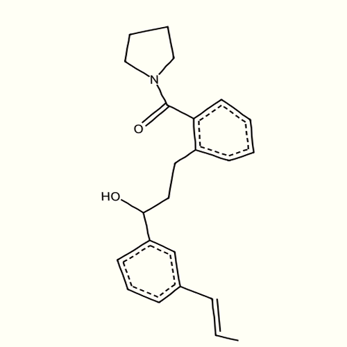 C/C=C/c1cccc(C(O)CCc2ccccc2C(=O)N2CCCC2)c1